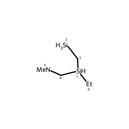 CC[SiH](C[SiH3])CNC